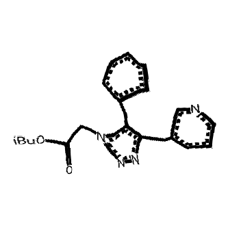 CC(C)COC(=O)Cn1nnc(-c2cccnc2)c1-c1ccccc1